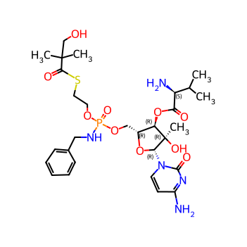 CC(C)[C@H](N)C(=O)O[C@@H]1[C@@H](COP(=O)(NCc2ccccc2)OCCSC(=O)C(C)(C)CO)O[C@@H](n2ccc(N)nc2=O)[C@]1(C)O